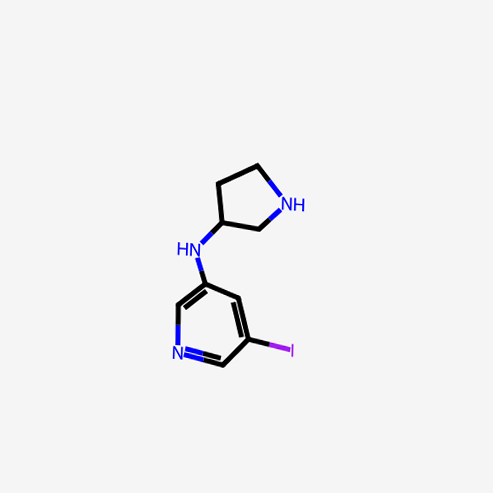 Ic1cncc(NC2CCNC2)c1